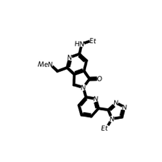 CCNc1cc2c(c(CNC)n1)CN(c1cccc(-c3nncn3CC)n1)C2=O